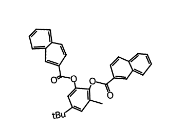 Cc1cc(C(C)(C)C)cc(OC(=O)c2ccc3ccccc3c2)c1OC(=O)c1ccc2ccccc2c1